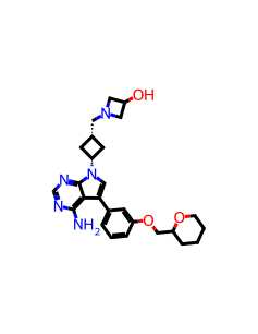 Nc1ncnc2c1c(-c1cccc(OCC3CCCCO3)c1)cn2[C@H]1C[C@@H](CN2CC(O)C2)C1